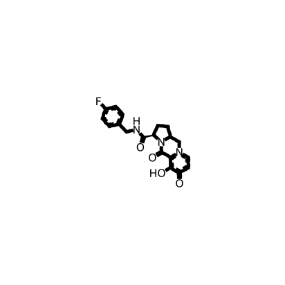 O=C(NCc1ccc(F)cc1)[C@H]1CCC2Cn3ccc(=O)c(O)c3C(=O)N21